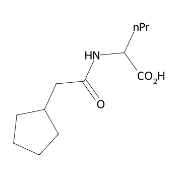 CCCC(NC(=O)CC1CCCC1)C(=O)O